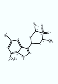 CCOC(=O)c1cc(Br)cc2c(C3CC(C)S(=O)(=O)C(C)C3)c[nH]c12